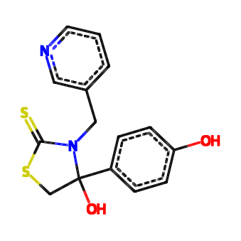 Oc1ccc(C2(O)CSC(=S)N2Cc2cccnc2)cc1